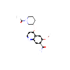 CCC(=O)N1CCC[C@@H](Oc2ccnc3cc(C(N)=O)c(OC(C)C)cc23)C1